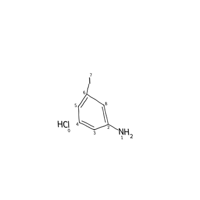 Cl.Nc1cccc(I)c1